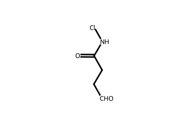 O=CCCC(=O)NCl